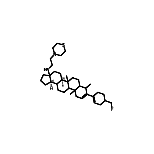 CC1C(C2=CCC(CF)CC2)=CCC2(C)C1CCC1(C)C2CCC2[C@H]3CCCC3(NCCN3CCSCC3)CC[C@]21C